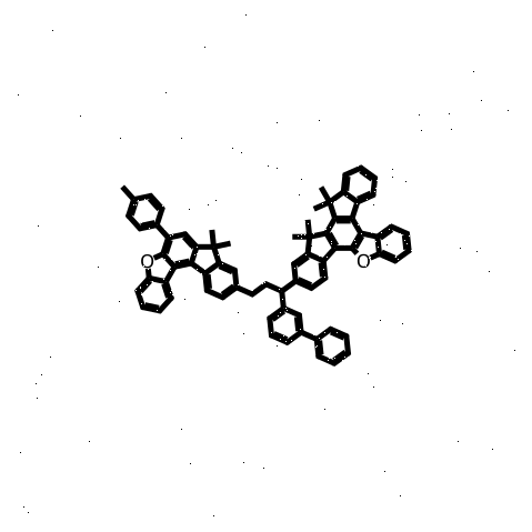 Cc1ccc(-c2cc3c(c4c2oc2ccccc24)-c2ccc(CCC(c4cccc(-c5ccccc5)c4)c4ccc5c(c4)C(C)(C)c4c6c(c7c(oc8ccccc87)c4-5)-c4ccccc4C6(C)C)cc2C3(C)C)cc1